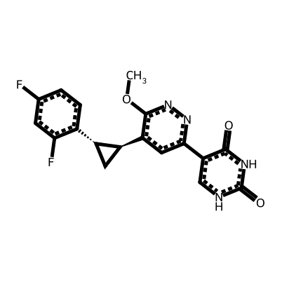 COc1nnc(-c2c[nH]c(=O)[nH]c2=O)cc1[C@H]1C[C@@H]1c1ccc(F)cc1F